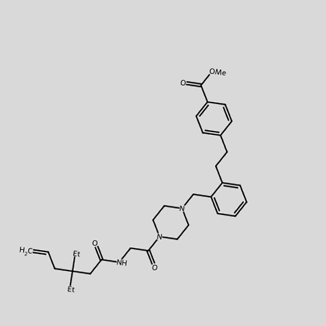 C=CCC(CC)(CC)CC(=O)NCC(=O)N1CCN(Cc2ccccc2CCc2ccc(C(=O)OC)cc2)CC1